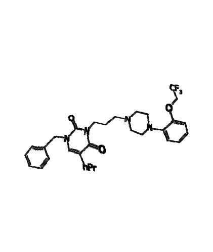 CCCc1cn(Cc2ccccc2)c(=O)n(CCCN2CCN(c3ccccc3OCC(F)(F)F)CC2)c1=O